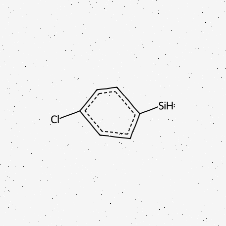 [SiH]c1ccc(Cl)cc1